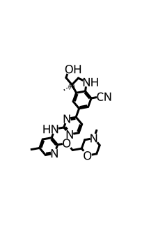 Cc1cnc(OCC2CN(C)CCO2)c(Nc2nccc(-c3cc(C#N)c4c(c3)[C@@](C)(CO)CN4)n2)c1